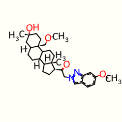 COC[C@]12CC[C@@](C)(O)C[C@@H]1CC[C@@H]1C2CC[C@]2(C)[C@@H](C(=O)Cn3cc4ccc(OC)cc4n3)CC[C@@H]12